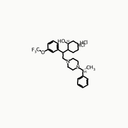 C[C@H](c1ccccc1)N1CCN(CC(c2cccc(OC(F)(F)F)c2)C2CCCC[C@@H]2O)CC1.Cl.Cl